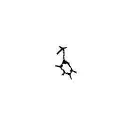 CCc1c(C(CC)(C(=O)O)C(=O)O)cc(F)c(N)c1F